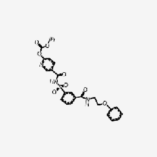 CC(C)OC(=O)Oc1ccc(C(=O)NS(=O)(=O)c2cccc(C(=O)NCCOc3ccccc3)c2)cn1